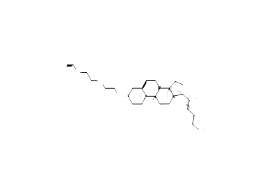 CC(C)CCC[C@@H](C)[C@H]1CC[C@H]2[C@@H]3CC=C4C[C@@H](OCCOCCOC=S)CC[C@]4(C)[C@H]3CC[C@]12C